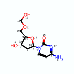 Nc1ccn([C@H]2C[C@H](O)[C@@H](COCO)O2)c(=O)n1